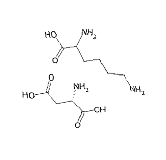 NCCCCC(N)C(=O)O.N[C@@H](CC(=O)O)C(=O)O